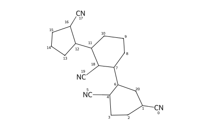 N#CC1CCC(C#N)C(C2CCCC(C3CCCC3C#N)C2C#N)C1